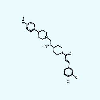 COc1ccc(C2CCN(CC(O)C3CCN(C(=O)C=Cc4ccc(Cl)c(Cl)c4)CC3)CC2)cc1